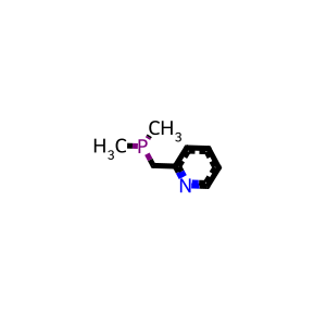 CP(C)Cc1ccccn1